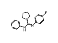 Fc1ccc(N=C(Nc2ccccc2)N2CCCC2)cc1